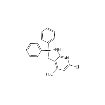 Cc1cc(Cl)nc2c1CC(c1ccccc1)(c1ccccc1)N2